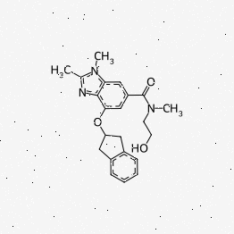 Cc1nc2c(OC3Cc4ccccc4C3)cc(C(=O)N(C)CCO)cc2n1C